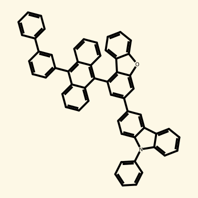 c1ccc(-c2cccc(-c3c4ccccc4c(-c4cc(-c5ccc6c(c5)c5ccccc5n6-c5ccccc5)cc5oc6ccccc6c45)c4ccccc34)c2)cc1